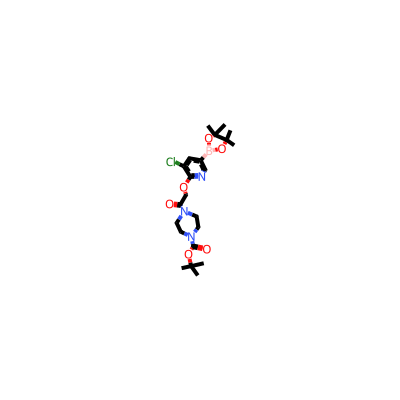 CC(C)(C)OC(=O)N1CCN(C(=O)COc2ncc(B3OC(C)(C)C(C)(C)O3)cc2Cl)CC1